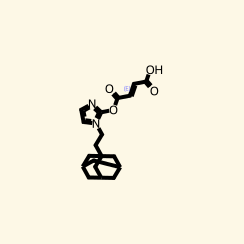 O=C(O)/C=C/C(=O)Oc1nccn1CCC12CC3CC(CC(C3)C1)C2